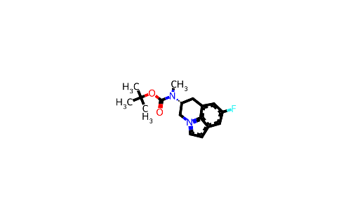 CN(C(=O)OC(C)(C)C)[C@@H]1Cc2cc(F)cc3ccn(c23)C1